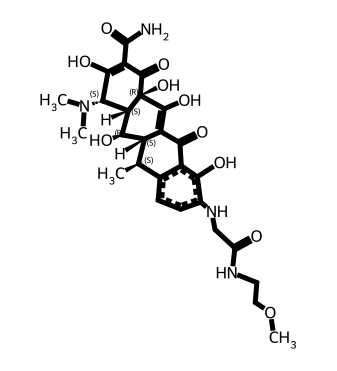 COCCNC(=O)CNc1ccc2c(c1O)C(=O)C1=C(O)[C@@]3(O)C(=O)C(C(N)=O)=C(O)[C@@H](N(C)C)[C@H]3[C@H](O)[C@H]1[C@@H]2C